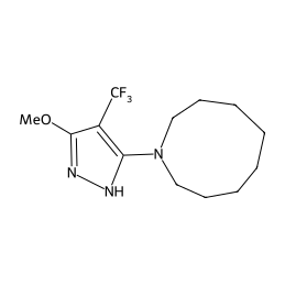 COc1n[nH]c(N2CCCCCCCC2)c1C(F)(F)F